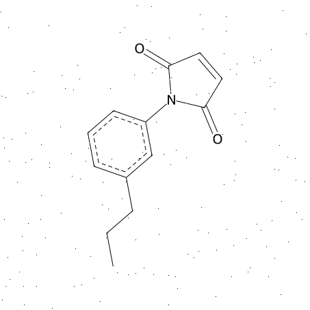 CCCc1cccc(N2C(=O)C=CC2=O)c1